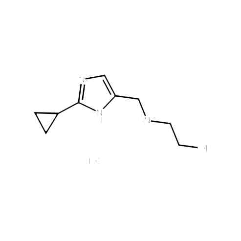 Cl.OCCNCc1cnc(C2CC2)[nH]1